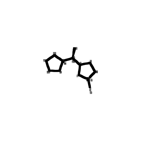 C[C@@H](C1CCN(I)C1)N1CCCC1